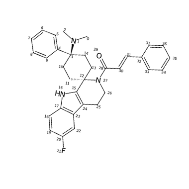 CN(C)[C@]1(c2ccccc2)CC[C@@]2(CC1)c1[nH]c3ccc(F)cc3c1CCN2C(=O)/C=C/c1ccccc1